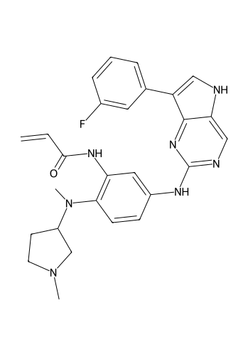 C=CC(=O)Nc1cc(Nc2ncc3[nH]cc(-c4cccc(F)c4)c3n2)ccc1N(C)C1CCN(C)C1